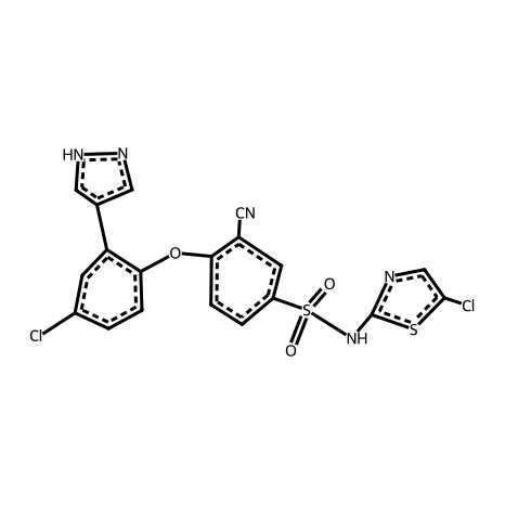 N#Cc1cc(S(=O)(=O)Nc2ncc(Cl)s2)ccc1Oc1ccc(Cl)cc1-c1cn[nH]c1